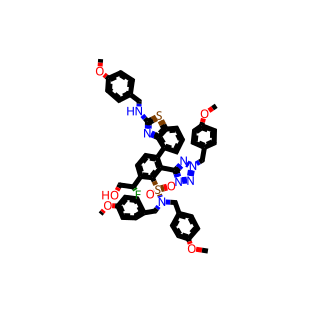 COc1ccc(CNc2nc3c(-c4ccc(C(F)CO)c(S(=O)(=O)N(Cc5ccc(OC)cc5)Cc5ccc(OC)cc5)c4-c4nnn(Cc5ccc(OC)cc5)n4)cccc3s2)cc1